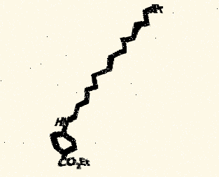 CCOC(=O)c1ccc(NCCCCCCCCCCCCCCC(C)C)cc1